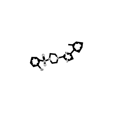 Cc1ccccc1-c1csc(N2CCN(S(=O)(=O)c3ccccc3Br)CC2)n1